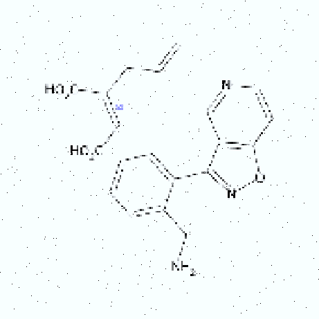 C=CC/C(=C/C(=O)O)C(=O)O.NCc1ccccc1-c1noc2ccncc12